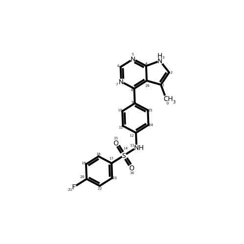 Cc1c[nH]c2ncnc(-c3ccc(NS(=O)(=O)c4ccc(F)cc4)cc3)c12